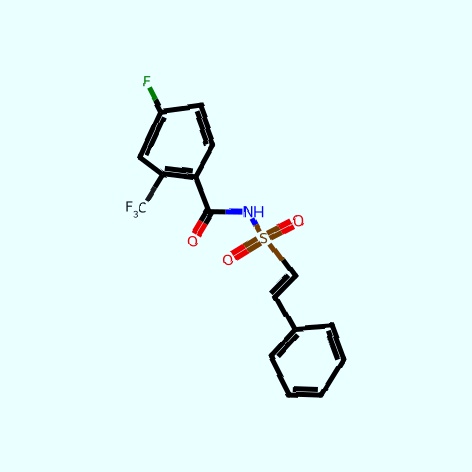 O=C(NS(=O)(=O)/C=C/c1ccccc1)c1ccc(F)cc1C(F)(F)F